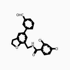 O=Cc1cccc(-c2cc3c(c(CNC(=O)c4ccc(Cl)cc4Cl)c2)OCC3)c1